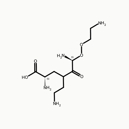 NCCOO[C@H](N)C(=O)C(CCN)C[C@H](N)C(=O)O